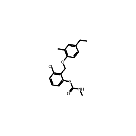 CCc1ccc(OCc2c(Cl)cccc2SC(=O)NC)c(C)c1